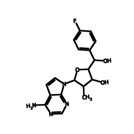 CC1C(O)C(C(O)c2ccc(F)cc2)OC1n1ccc2c(N)ncnc21